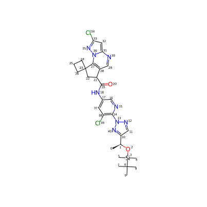 C[C@H](O[Si](C)(C)C(C)(C)C)c1cnn(-c2ncc(NC(=O)C3CC4(CCC4)c4c3cnc3cc(Cl)nn43)cc2Cl)n1